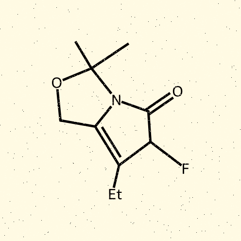 CCC1=C2COC(C)(C)N2C(=O)C1F